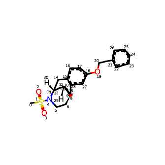 CS(=O)(=O)N1CC[C@]23CCCC[C@H]2[C@H]1Cc1ccc(OCc2ccccc2)cc13